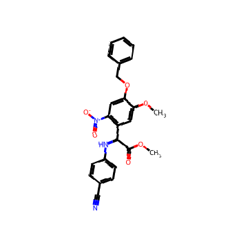 COC(=O)C(Nc1ccc(C#N)cc1)c1cc(OC)c(OCc2ccccc2)cc1[N+](=O)[O-]